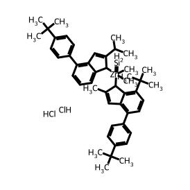 CC1=Cc2c(-c3ccc(C(C)(C)C)cc3)ccc(C(C)(C)C)c2[CH]1[Zr]([CH3])([CH3])(=[SiH2])[CH]1C(C(C)C)=Cc2c(-c3ccc(C(C)(C)C)cc3)cccc21.Cl.Cl